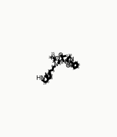 CC(=O)[C@H](CCN(CCCCc1ccc2c(n1)NCCC2)CC(=O)N(C)C)Nc1ccnc(-c2ccccc2)[n+]1O